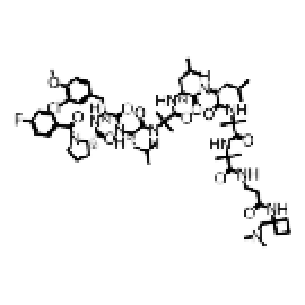 COc1ccc(C[C@H](NC(=O)[C@@H]2CCCN2C(=O)c2ccc(F)cc2)C(=O)N[C@@H](CC(C)C)C(=O)NC(C)(C)C(=O)N[C@@H](CC(C)C)C(=O)N[C@@H](CC(C)C)C(=O)NC(C)(C)C(=O)NC(C)(C)C(=O)NCCC(=O)NC2(CN(C)C)CCC2)cc1Cl